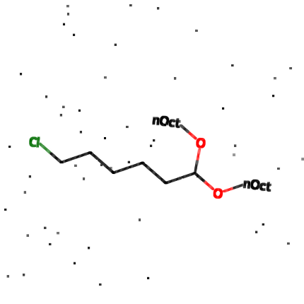 CCCCCCCCOC(CCCCCCl)OCCCCCCCC